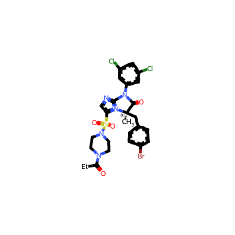 CCC(=O)N1CCN(S(=O)(=O)c2cnc3n2[C@](C)(Cc2ccc(Br)cc2)C(=O)N3c2cc(Cl)cc(Cl)c2)CC1